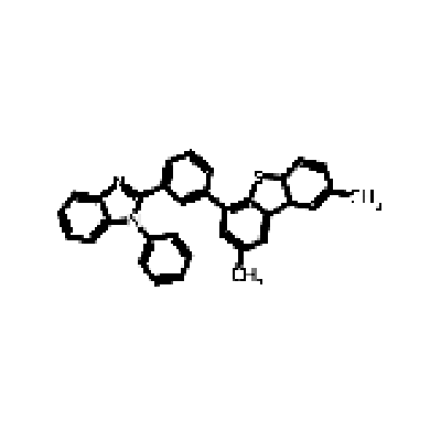 CC1=CC2c3cc(C)cc(-c4cccc(-c5nc6ccccc6n5-c5ccccc5)c4)c3SC2C=C1